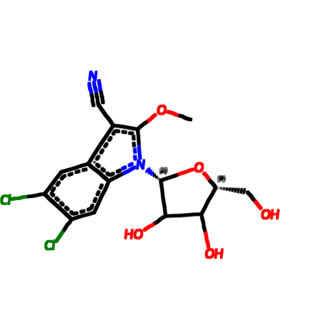 COc1c(C#N)c2cc(Cl)c(Cl)cc2n1[C@@H]1O[C@H](CO)C(O)C1O